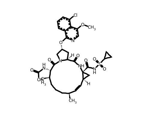 COc1cnc(O[C@@H]2C[C@H]3C(=O)N[C@]4(C(=O)NS(=O)(=O)C5CC5)C[C@H]4C=C[C@@H](C)CCC[C@@H](C)[C@H](NC(=O)O)C(=O)N3C2)c2cccc(Cl)c12